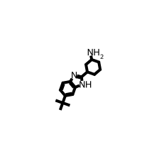 CC(C)(C)c1ccc2nc(C3CCCC(N)C3)[nH]c2c1